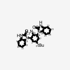 CC(C)(C)c1cc(-n2c(=O)[nH]c3ccccc32)c(N)c(-n2c(=O)[nH]c3ccccc32)c1